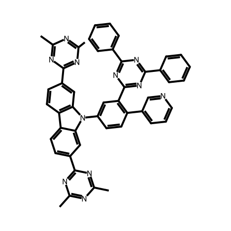 Cc1nc(C)nc(-c2ccc3c4ccc(-c5nc(C)nc(C)n5)cc4n(-c4ccc(-c5cccnc5)c(-c5nc(-c6ccccc6)nc(-c6ccccc6)n5)c4)c3c2)n1